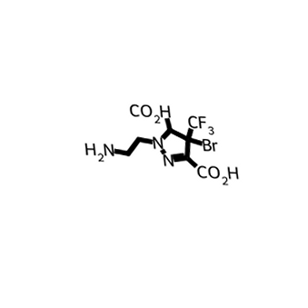 NCCN1N=C(C(=O)O)C(Br)(C(F)(F)F)C1C(=O)O